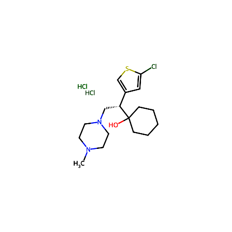 CN1CCN(C[C@H](c2csc(Cl)c2)C2(O)CCCCC2)CC1.Cl.Cl